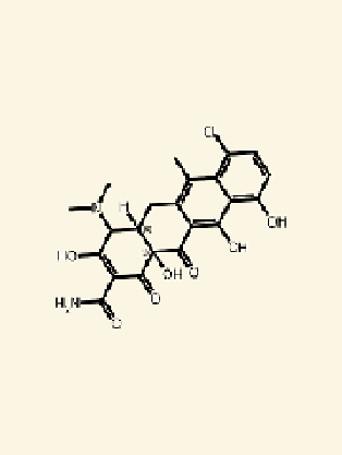 Cc1c2c(c(O)c3c(O)ccc(Cl)c13)C(=O)[C@]1(O)C(=O)C(C(N)=O)=C(O)C(N(C)C)[C@@H]1C2